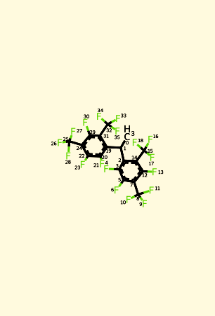 CC(c1c(F)c(F)c(C(F)(F)F)c(F)c1C(F)(F)F)c1c(F)c(F)c(C(F)(F)F)c(F)c1C(F)(F)F